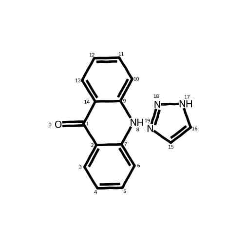 O=c1c2ccccc2[nH]c2ccccc12.c1c[nH]nn1